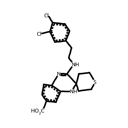 O=C(O)c1ccc2c(c1)NC1(CCSCC1)C(NCCc1ccc(Cl)c(Cl)c1)=N2